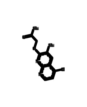 CC(C)(C)C(=O)COc1nc2nccc(Cl)c2cc1C(C)(C)C